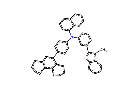 Cc1c(-c2cccc(N(c3ccc(-c4cc5ccccc5c5ccccc45)cc3)c3cccc4ccccc34)c2)oc2ccccc12